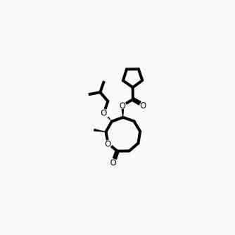 CC(C)CO[C@H]1[C@H](C)OC(=O)CCCC[C@@H]1OC(=O)C1CCCC1